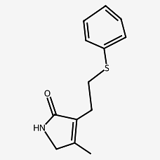 CC1=C(CCSc2ccccc2)C(=O)NC1